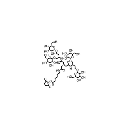 O=C(CN(CC(=O)NC(CCO[C@H]1O[C@H](CO)[C@@H](O)[C@H](O)[C@@H]1O)CO[C@H]1O[C@H](CO)[C@@H](O)[C@H](O)[C@@H]1O)CC(=O)N[C@H](CCO[C@H]1O[C@H](CO)[C@@H](O)[C@H](O)[C@@H]1O)CO[C@@H]1O[C@@H](CO)[C@H](O)[C@@H](O)[C@H]1O)NCCCCCC(=O)ON1C(=O)CCC1=O